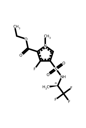 CCOC(=O)c1c(F)c(S(=O)(=O)N[C@H](C)C(F)(F)F)cn1C